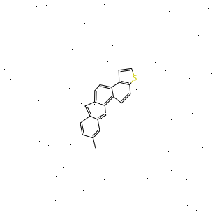 Cc1ccc2cc3ccc4c5ccsc5ccc4c3cc2c1